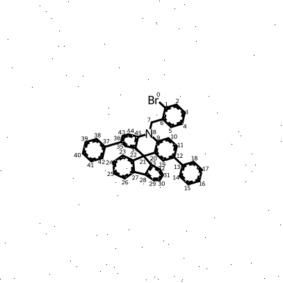 Brc1ccccc1CN1c2ccc(-c3ccccc3)cc2C2(c3ccccc3-c3ccccc32)c2cc(-c3ccccc3)ccc21